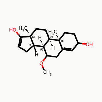 COC1CC2=CC(O)CC[C@]2(C)[C@@H]2CC[C@]3(C)C(O)=CC[C@H]3[C@H]12